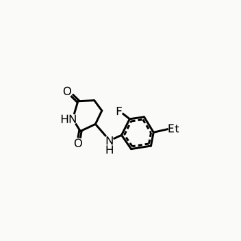 CCc1ccc(NC2CCC(=O)NC2=O)c(F)c1